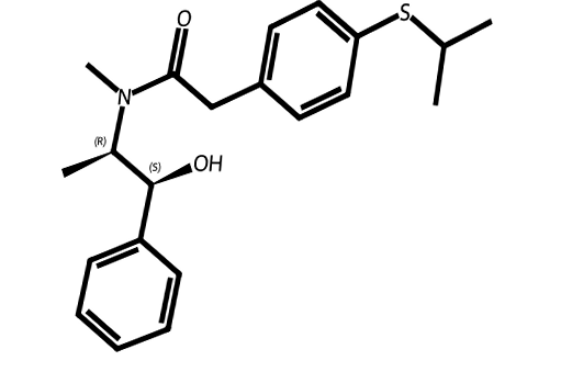 CC(C)Sc1ccc(CC(=O)N(C)[C@H](C)[C@@H](O)c2ccccc2)cc1